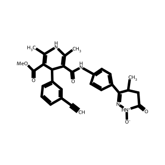 C#Cc1cccc(C2C(C(=O)Nc3ccc(C4=N[NH+]([O-])C(=O)CC4C)cc3)=C(C)NC(C)=C2C(=O)OC)c1